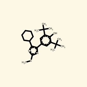 CSc1nc(-c2cc(C(C)(C)C)c(O)c(C(C)(C)C)c2)c(C2CCCCC2)s1